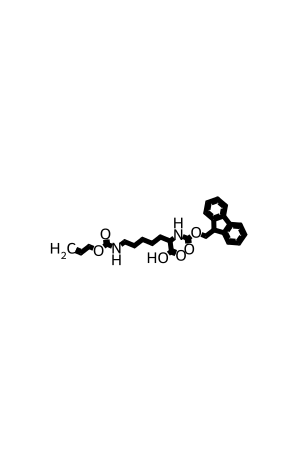 C=CCOC(=O)NCCCCCC(NC(=O)OCC1c2ccccc2-c2ccccc21)C(=O)O